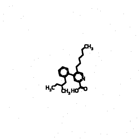 CCCCCCc1cnc(C(=O)O)cc1-c1ccccc1C[C@@H](C)CC